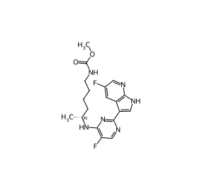 COC(=O)NCCCC[C@@H](C)Nc1nc(-c2c[nH]c3ncc(F)cc23)ncc1F